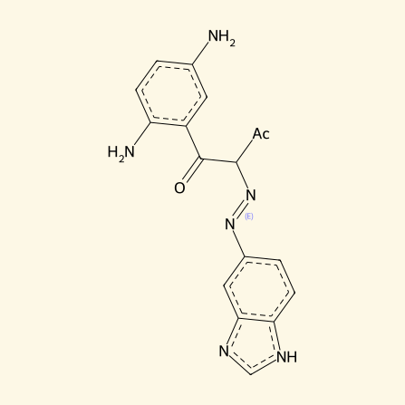 CC(=O)C(/N=N/c1ccc2[nH]cnc2c1)C(=O)c1cc(N)ccc1N